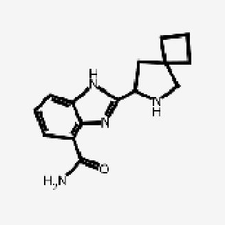 NC(=O)c1cccc2[nH]c(C3CC4(CCC4)CN3)nc12